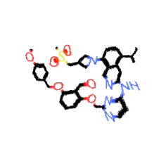 COc1ccc(COc2cccc(OCc3nccc(Nc4cc5c(C(C)C)ccc(N6CC(CS(C)(=O)=O)C6)c5cn4)n3)c2C=O)cc1